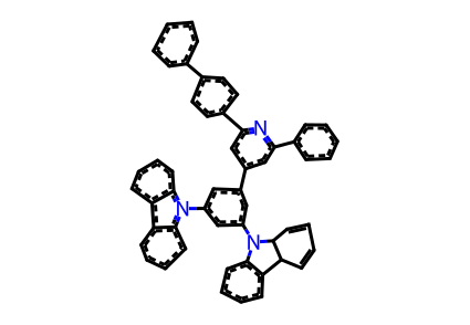 C1=CC2c3ccccc3N(c3cc(-c4cc(-c5ccccc5)nc(-c5ccc(-c6ccccc6)cc5)c4)cc(-n4c5ccccc5c5ccccc54)c3)C2C=C1